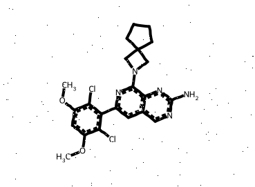 COc1cc(OC)c(Cl)c(-c2cc3cnc(N)nc3c(N3CC4(CCCC4)C3)n2)c1Cl